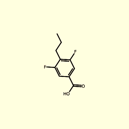 CCCc1c(F)cc(C(=O)O)cc1F